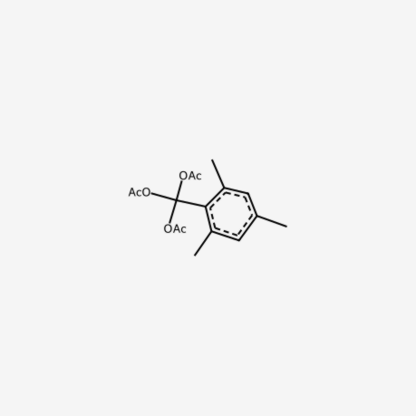 CC(=O)OC(OC(C)=O)(OC(C)=O)c1c(C)cc(C)cc1C